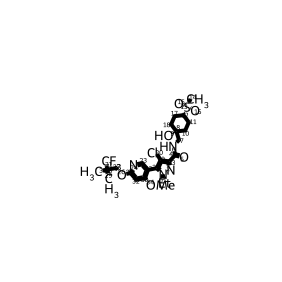 CCn1nc(C(=O)NC[C@]2(O)CC[C@@H](S(C)(=O)=O)CC2)c(Cl)c1-c1cnc(OCC(C)(C)C(F)(F)F)cc1OC